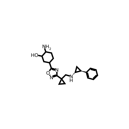 NC1CCC(c2nc(C3(CN[C@@H]4C[C@H]4c4ccccc4)CC3)no2)CC1O